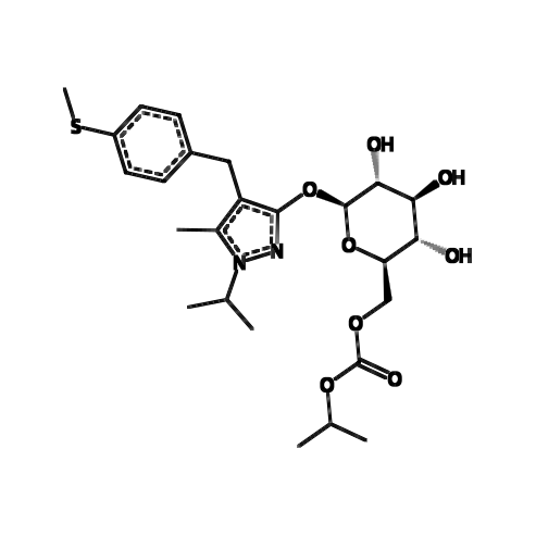 CSc1ccc(Cc2c(O[C@@H]3O[C@H](COC(=O)OC(C)C)[C@@H](O)[C@H](O)[C@H]3O)nn(C(C)C)c2C)cc1